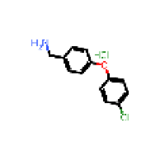 Cl.NCc1ccc(Oc2ccc(Cl)cc2)cc1